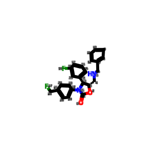 O=C1O[C@@H](CNCc2ccccc2)[C@H](c2cccc(F)c2)N1c1ccc(CF)cc1